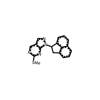 CSc1ncc2cnn(C3Cc4cccc5cccc3c45)c2n1